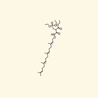 CCOC(=O)C(CP(=O)(OCC)OCC)C(=O)NOC/C=C(\C)CC/C=C(\C)CC/C=C(\C)CCC=C(C)C